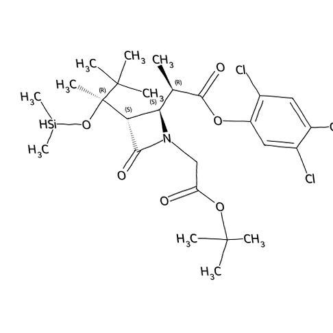 C[C@@H](C(=O)Oc1cc(Cl)c(Cl)cc1Cl)[C@@H]1[C@@H]([C@@](C)(O[SiH](C)C)C(C)(C)C)C(=O)N1CC(=O)OC(C)(C)C